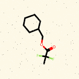 CC(F)(F)C(=O)OCC1CCCCC1